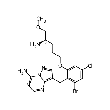 COC[C@H](N)CCCOc1cc(Cl)cc(Br)c1Cc1cnn2c(N)ncnc12